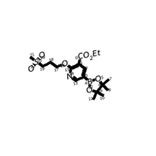 CCOC(=O)c1cc(B2OC(C)(C)C(C)(C)O2)cnc1OCCCS(C)(=O)=O